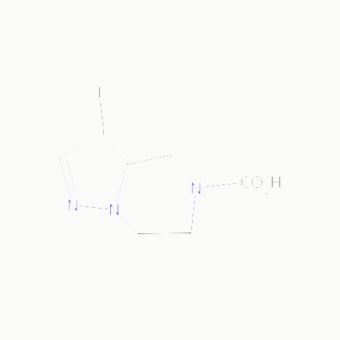 C[C@@H]1Cn2ncc(I)c2CN1C(=O)O